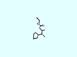 CCOC(=O)CC(C)[C@@H](C)C1CCCC1